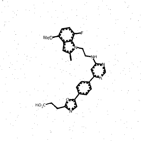 COc1ccc(F)c2c1cc(C)n2CCNc1cc(-c2ccc(-c3cnc(CCC(=O)O)o3)cc2)ncn1